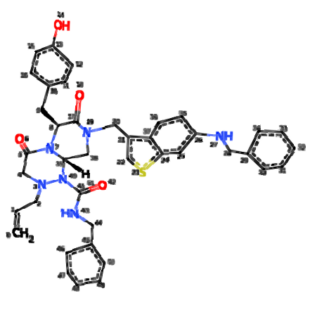 C=CCN1CC(=O)N2[C@@H](Cc3ccc(O)cc3)C(=O)N(Cc3csc4cc(NCc5ccccc5)ccc34)C[C@@H]2N1C(=O)NCc1ccccc1